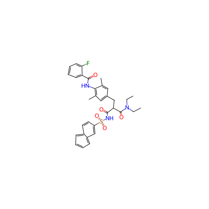 CCN(CC)C(=O)C(Cc1cc(C)c(NC(=O)c2ccccc2F)c(C)c1)C(=O)NS(=O)(=O)c1ccc2ccccc2c1